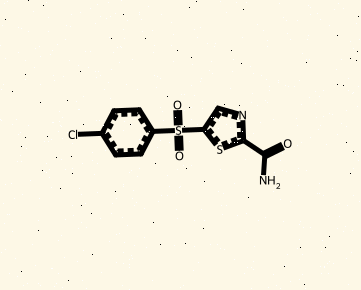 NC(=O)c1ncc(S(=O)(=O)c2ccc(Cl)cc2)s1